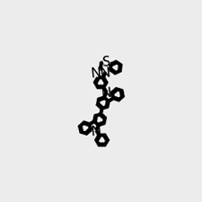 c1ccc(-n2c3ccccc3c3cc(-c4ccc5c(c4)c4ccccc4n5-c4ccc5nc6n(c5c4)-c4ccccc4SC6)ccc32)cc1